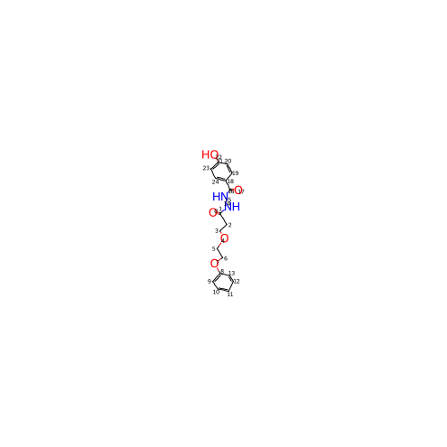 O=C(CCOCCOc1ccccc1)NNC(=O)c1ccc(O)cc1